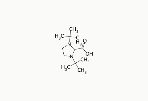 CC(C)(C)N1CCN(C(C)(C)C)C1C(=O)O